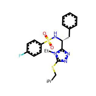 CCn1c(SCC(C)C)nnc1[C@@H](Cc1ccccc1)NS(=O)(=O)c1ccc(F)cc1